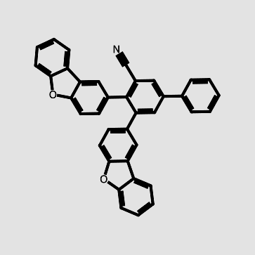 N#Cc1cc(-c2ccccc2)cc(-c2ccc3oc4ccccc4c3c2)c1-c1ccc2oc3ccccc3c2c1